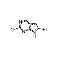 CCc1cc2cnc(Cl)nc2[nH]1